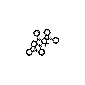 CC1(C)C2=C(c3c1n(-c1ccccc1)c1ccccc31)N(c1ccccc1)c1ccc3c4ccccc4n4c3c1B2c1ccccc1-4